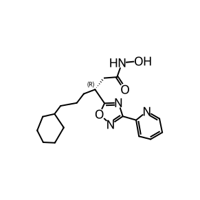 O=C(C[C@@H](CCCC1CCCCC1)c1nc(-c2ccccn2)no1)NO